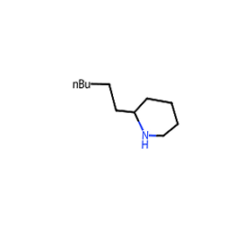 CCCCCCC1CCCCN1